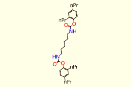 CCCc1ccc(OC(=O)NCCCCCCNC(=O)Oc2ccc(CCC)cc2CCC)c(CCC)c1